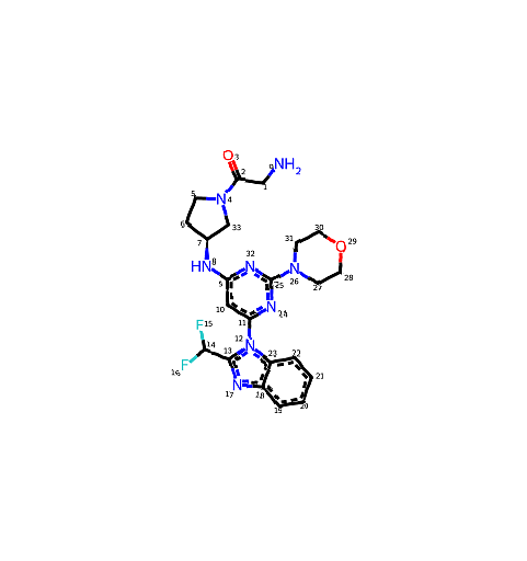 NCC(=O)N1CC[C@H](Nc2cc(-n3c(C(F)F)nc4ccccc43)nc(N3CCOCC3)n2)C1